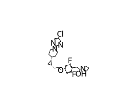 OC(Cc1c(F)cc(OCC[C@@H]2C[C@@H]2C2CCN(c3ncc(Cl)cn3)CC2)cc1F)N1CCC1